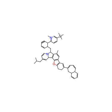 Cc1cc2c3c(oc2c2c1C(CC1C=CC#CC1c1ccc([Si](C)(C)C)c[n+]1C)N1C=CC(CC(C)C)=CC21)CCC(C1=CC=CC2C=CC=CC2C1)=C3